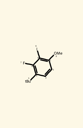 COc1ccc(C(C)(C)C)c(F)c1I